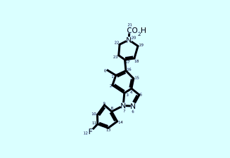 Cc1cc2c(cnn2-c2ccc(F)cc2)cc1C1=CCN(C(=O)O)CC1